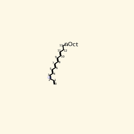 C=C/C=C\C=CC=CC=CC=CCCCCCC[CH]CCC